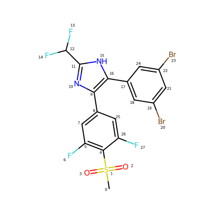 CS(=O)(=O)c1c(F)cc(-c2nc(C(F)F)[nH]c2-c2cc(Br)cc(Br)c2)cc1F